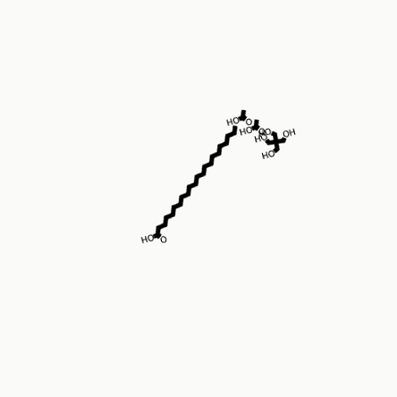 CC(=O)O.CC(=O)O.CCCCCCCCCCCCCCCCCCCCCC(=O)O.OCC(CO)(CO)CO